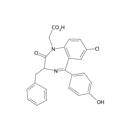 O=C(O)CN1C(=O)C(Cc2ccccc2)N=C(c2ccc(O)cc2)c2cc(Cl)ccc21